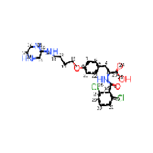 O=C(NC(Cc1ccc(OCCCCNC2=NCCNC2)cc1)C(=O)O)c1c(Cl)cccc1Cl